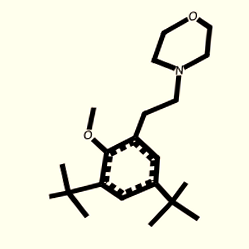 COc1c(CCN2CCOCC2)cc(C(C)(C)C)cc1C(C)(C)C